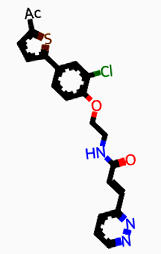 CC(=O)c1ccc(-c2ccc(OCCNC(=O)C=Cc3cccnn3)c(Cl)c2)s1